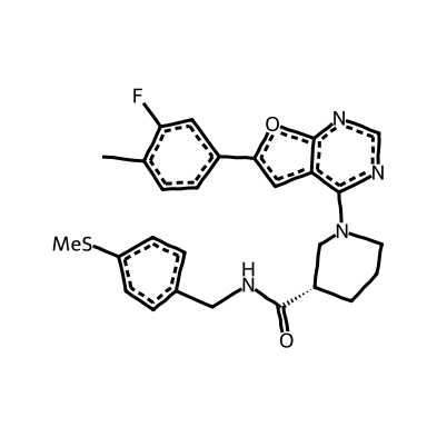 CSc1ccc(CNC(=O)[C@H]2CCCN(c3ncnc4oc(-c5ccc(C)c(F)c5)cc34)C2)cc1